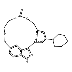 O=C1NCCCOc2ccc3[nH]nc(c3c2)-c2cc(cc(N3CCCCC3)c2)CO1